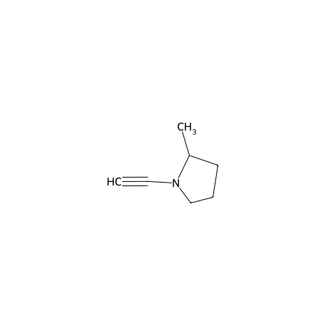 C#CN1CCCC1C